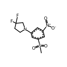 CS(=O)(=O)c1cc(N2CCC(F)(F)C2)cc([N+](=O)[O-])c1